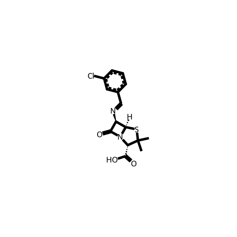 CC1(C)S[C@@H]2[C@H](N=Cc3cccc(Cl)c3)C(=O)N2[C@H]1C(=O)O